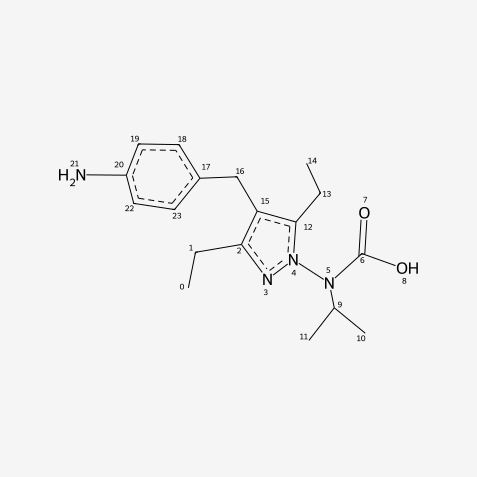 CCc1nn(N(C(=O)O)C(C)C)c(CC)c1Cc1ccc(N)cc1